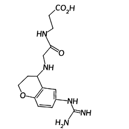 N=C(N)Nc1ccc2c(c1)C(NCC(=O)NCCC(=O)O)CCO2